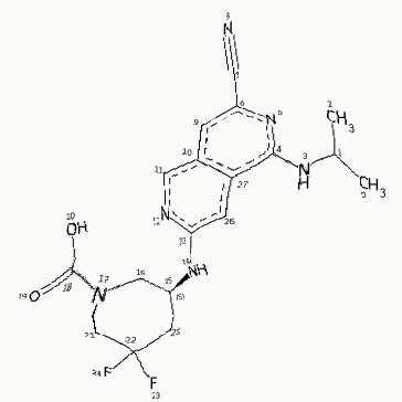 CC(C)Nc1nc(C#N)cc2cnc(N[C@@H]3CN(C(=O)O)CC(F)(F)C3)cc12